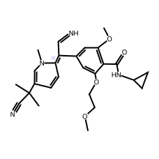 COCCOc1cc(/C(C=N)=C2\C=CC(C(C)(C)C#N)=CN2C)cc(OC)c1C(=O)NC1CC1